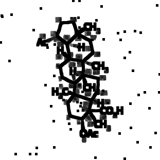 CC(=O)O[C@H]1CC[C@]2(C)[C@H]3CC[C@@H]4[C@H]5[C@H](C(C)=O)CC[C@]5(C)CC[C@@]4(C)[C@]3(C)CC[C@H]2C1(C)C(=O)O